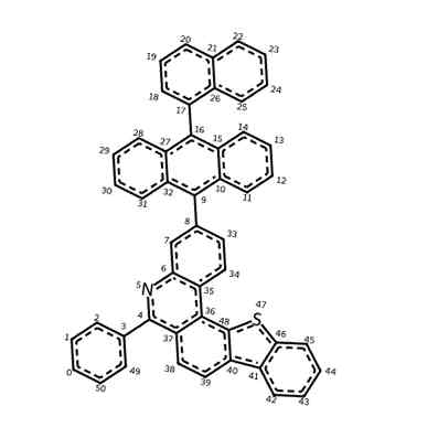 c1ccc(-c2nc3cc(-c4c5ccccc5c(-c5cccc6ccccc56)c5ccccc45)ccc3c3c2ccc2c4ccccc4sc23)cc1